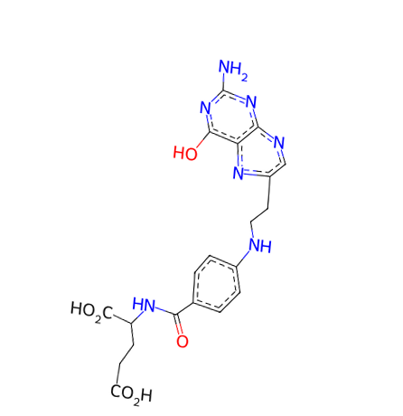 Nc1nc(O)c2nc(CCNc3ccc(C(=O)NC(CCC(=O)O)C(=O)O)cc3)cnc2n1